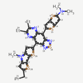 CCc1nc2c(-c3cc4sc(N(C)C)cc4s3)c3nsnc3c(-c3cc4c(s3)c3sc(CC(C)C)cc3n4C)c2nc1CC